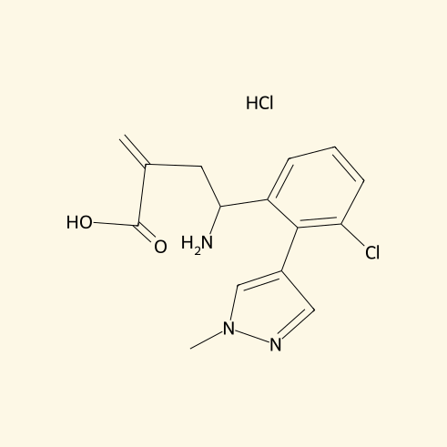 C=C(CC(N)c1cccc(Cl)c1-c1cnn(C)c1)C(=O)O.Cl